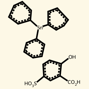 O=C(O)c1cc(S(=O)(=O)O)ccc1O.c1cc[c]([Sn]([c]2ccccc2)[c]2ccccc2)cc1